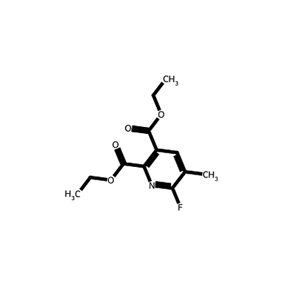 CCOC(=O)c1cc(C)c(F)nc1C(=O)OCC